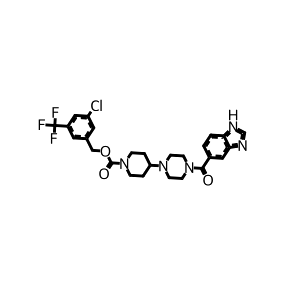 O=C(OCc1cc(Cl)cc(C(F)(F)F)c1)N1CCC(N2CCN(C(=O)c3ccc4[nH]cnc4c3)CC2)CC1